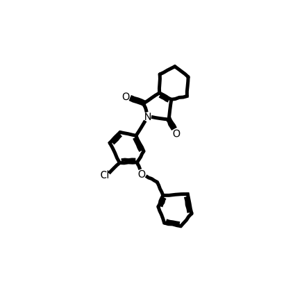 O=C1C2=C(CCCC2)C(=O)N1c1ccc(Cl)c(OCc2ccccc2)c1